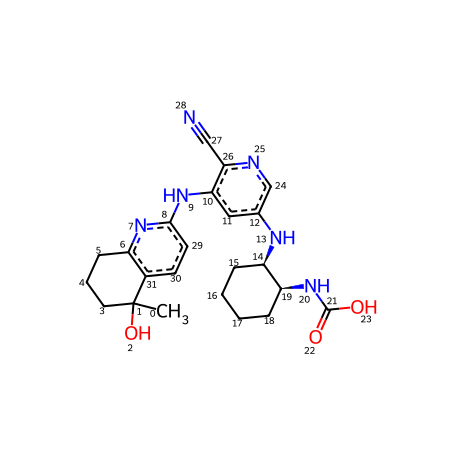 CC1(O)CCCc2nc(Nc3cc(N[C@@H]4CCCC[C@@H]4NC(=O)O)cnc3C#N)ccc21